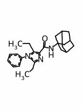 CCc1nc(C(=O)NC23CC4CC(CC(C4)C2)C3)c(CC)n1-c1ccccc1